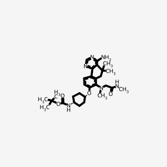 CNC(=O)CN(C)c1c(O[C@H]2CC[C@@H](NC(=O)OC(C)(C)C)CC2)ccc2c1CC(C)(C)c1c(N)ncnc1-2